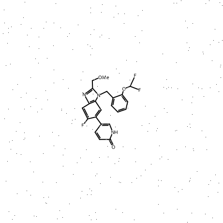 COCc1nc2cc(F)c(-c3ccc(=O)[nH]c3)cc2n1Cc1ccccc1OC(F)F